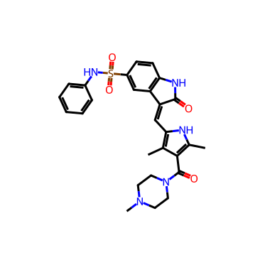 Cc1[nH]c(C=C2C(=O)Nc3ccc(S(=O)(=O)Nc4ccccc4)cc32)c(C)c1C(=O)N1CCN(C)CC1